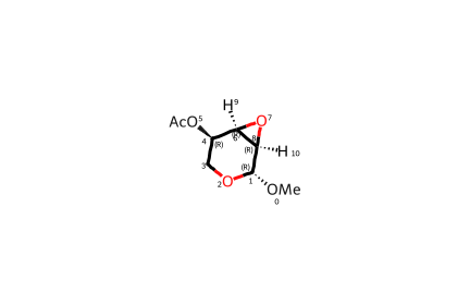 CO[C@@H]1OC[C@@H](OC(C)=O)[C@H]2O[C@@H]12